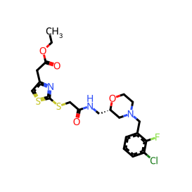 CCOC(=O)Cc1csc(SCC(=O)NC[C@H]2CN(Cc3cccc(Cl)c3F)CCO2)n1